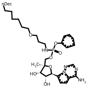 CCCCCCCCCCCCCCCCOCCCNP(=O)(OC[C@@]1(C)O[C@@H](c2ccc3c(N)ncnn23)[C@H](O)[C@@H]1O)Oc1ccccc1